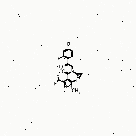 C=C(CN(C(=O)c1c(C(F)F)nn(C)c1F)C1CC1)c1ccc(Cl)cc1F